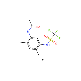 CC(=O)[N-]c1cc(NS(=O)(=O)C(F)(F)F)c(C)cc1C.[K+]